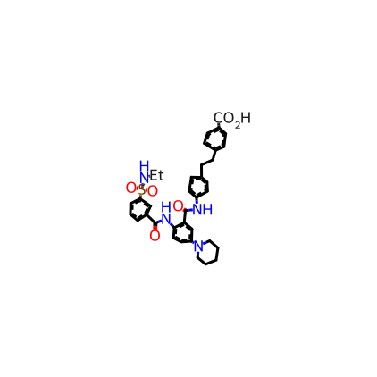 CCNS(=O)(=O)c1cccc(C(=O)Nc2ccc(N3CCCCC3)cc2C(=O)Nc2ccc(CCc3ccc(C(=O)O)cc3)cc2)c1